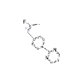 [CH2]/C(F)=C\c1ccc(-c2ncccn2)cc1